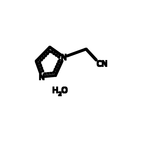 N#CCn1ccnc1.O